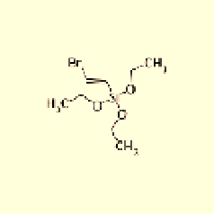 CCO[Si](C=CBr)(OCC)OCC